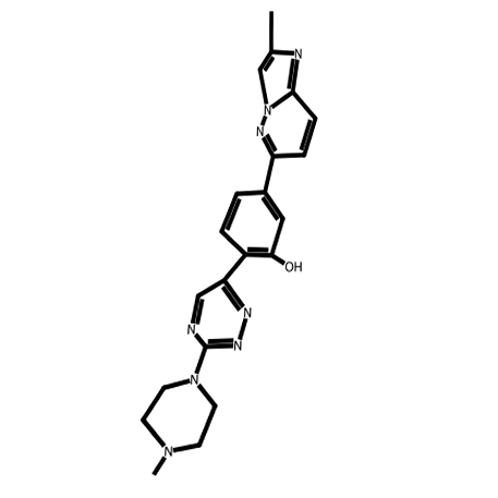 Cc1cn2nc(-c3ccc(-c4cnc(N5CCN(C)CC5)nn4)c(O)c3)ccc2n1